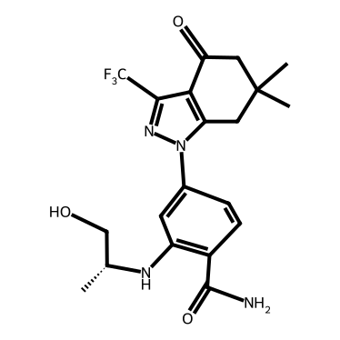 C[C@H](CO)Nc1cc(-n2nc(C(F)(F)F)c3c2CC(C)(C)CC3=O)ccc1C(N)=O